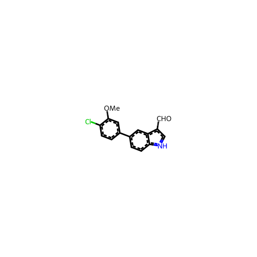 COc1cc(-c2ccc3[nH]cc(C=O)c3c2)ccc1Cl